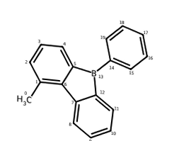 Cc1cccc2c1-c1ccccc1B2c1ccccc1